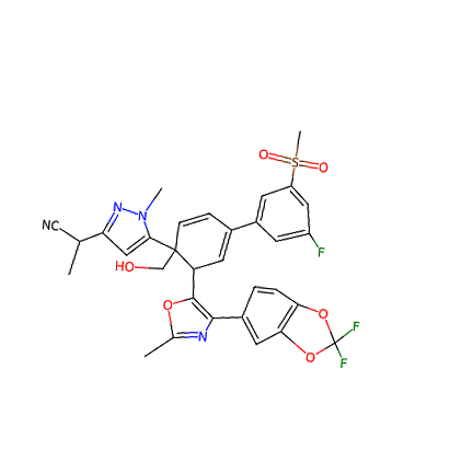 Cc1nc(-c2ccc3c(c2)OC(F)(F)O3)c(C2C=C(c3cc(F)cc(S(C)(=O)=O)c3)C=CC2(CO)c2cc(C(C)C#N)nn2C)o1